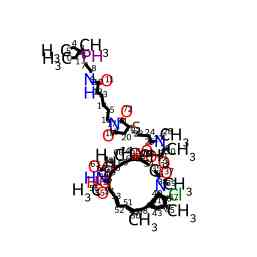 CCC(C)(CC)PCCNC(=O)CCCCCN1C(=O)CC(SCCC(=O)N(C)[C@@H](C)C(=O)O[C@H]2CC(=O)N(C)c3cc(cc(C)c3Cl)C/C(C)=C/C=C/[C@@H](OC)[C@@]3(O)C[C@H](OC(=O)N3)[C@@H](C)[C@@H]3O[C@@]23C)C1=O